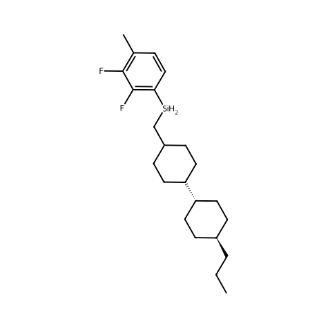 CCC[C@H]1CC[C@H](C2CCC(C[SiH2]c3ccc(C)c(F)c3F)CC2)CC1